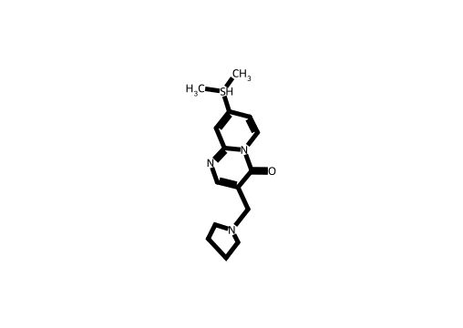 C[SH](C)c1ccn2c(=O)c(CN3CCCC3)cnc2c1